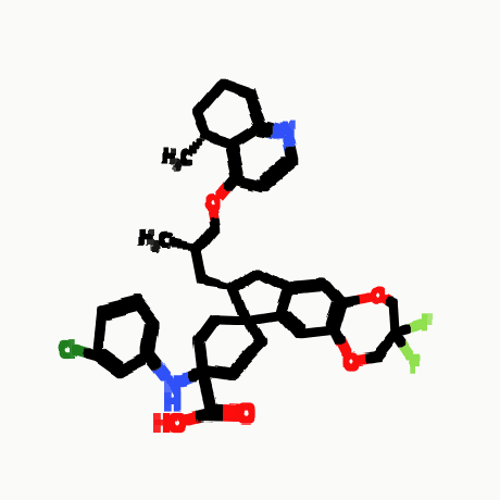 C[C@@H](COc1ccnc2c1[C@H](C)CCC2)C[C@H]1Cc2cc3c(cc2C12CCC(Nc1cccc(Cl)c1)(C(=O)O)CC2)OCC(F)(F)CO3